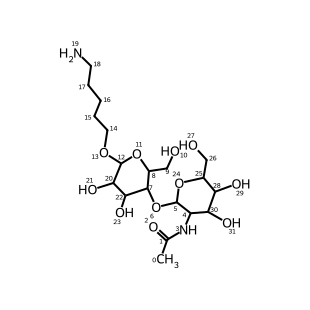 CC(=O)NC1C(OC2C(CO)OC(OCCCCCN)C(O)C2O)OC(CO)C(O)C1O